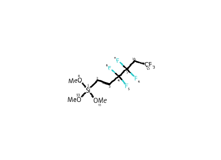 CO[Si](CCC(F)(F)C(F)(F)CC(F)(F)F)(OC)OC